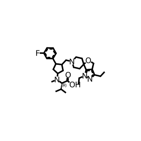 CCc1nn(CC)c2c1COC21CCN(CC2CC(N(C)[C@@H](C(=O)O)C(C)C)CC2c2cccc(F)c2)CC1